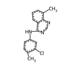 Cc1ccc(Nc2ncnc3c(C)cccc23)cc1Cl